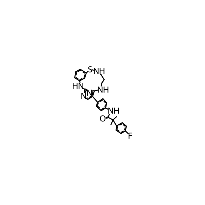 CC(C)(C(=O)Nc1ccc(-c2cnc3nc2NCCCNSc2cccc(c2)N3)cc1)c1ccc(F)cc1